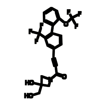 O=C(C#Cc1ccc(-c2ccccc2OC(F)(F)F)c(C(F)(F)F)c1)N1CC(O)(CO)C1